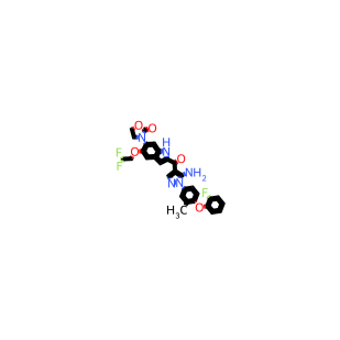 Cc1cc(-n2ncc(C(=O)c3cc4cc(OCC(F)F)c(N5CCOC5=O)cc4[nH]3)c2N)ccc1Oc1ccccc1F